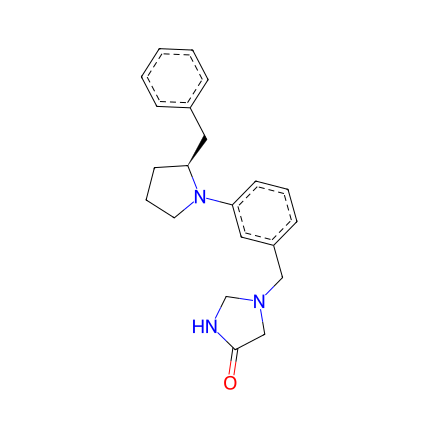 O=C1CN(Cc2cccc(N3CCC[C@H]3Cc3ccccc3)c2)CN1